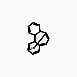 C1=CC2C3=CC=C4C=CC(=CC4C2C=C1)N3